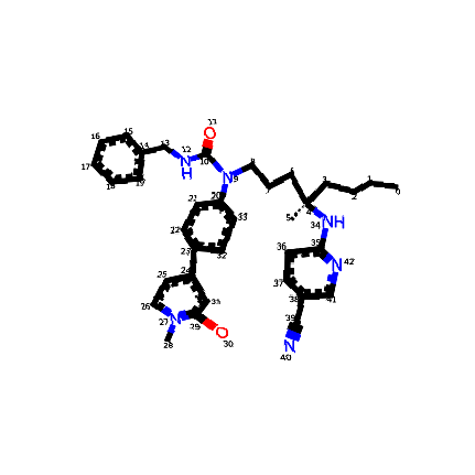 CCCC[C@](C)(CCCN(C(=O)NCc1ccccc1)c1ccc(-c2ccn(C)c(=O)c2)cc1)Nc1ccc(C#N)cn1